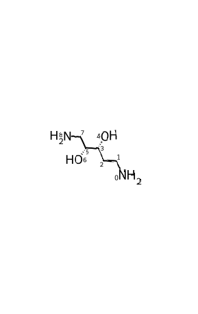 NCC[C@@H](O)[C@H](O)CN